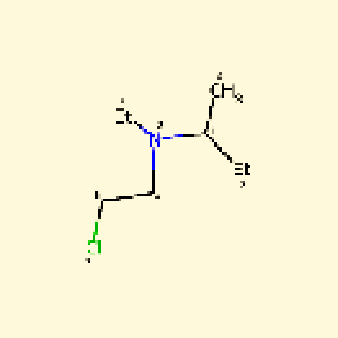 CCC(C)N(CC)CCCl